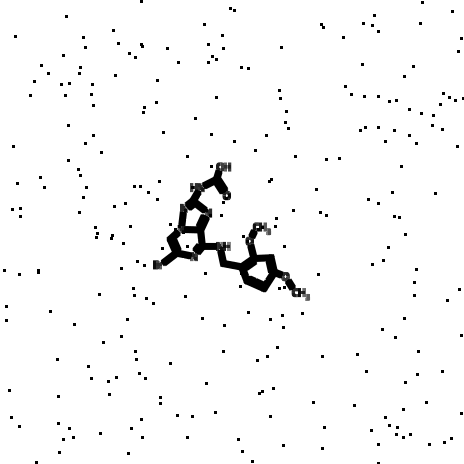 COc1ccc(CNc2nc(Br)cn3nc(NC(=O)O)nc23)c(OC)c1